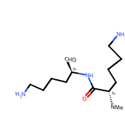 CN[C@@H](CCCCN)C(=O)N[C@H](C=O)CCCCN